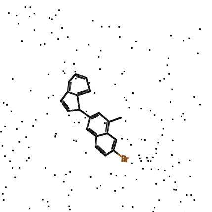 Cc1cc(C2C=Cc3ccccc32)cc2ccc(Br)cc12